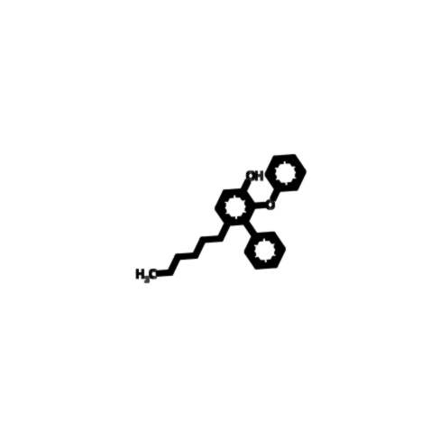 CCCCCCc1ccc(O)c(Oc2ccccc2)c1-c1ccccc1